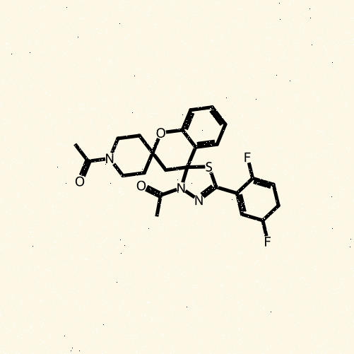 CC(=O)N1CCC2(CC1)CC1(SC(C3=CC(F)CC=C3F)=NN1C(C)=O)c1ccccc1O2